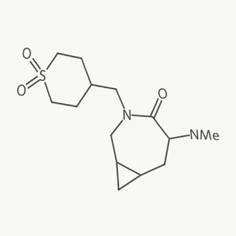 CNC1CC2CC2CN(CC2CCS(=O)(=O)CC2)C1=O